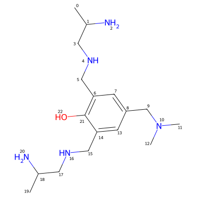 CC(N)CNCc1cc(CN(C)C)cc(CNCC(C)N)c1O